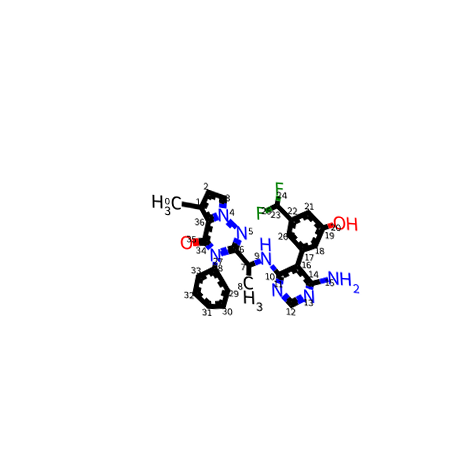 Cc1ccn2nc(C(C)Nc3ncnc(N)c3-c3cc(O)cc(C(F)F)c3)n(-c3ccccc3)c(=O)c12